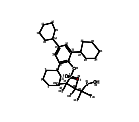 O=S(=O)(Oc1c(C2CCCCC2)cc(C2CCCCC2)cc1C1CCCCC1)C(F)(F)C(F)(F)C(F)(F)SO